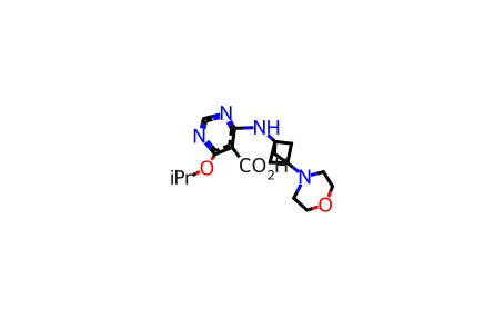 CC(C)Oc1ncnc(NC23CC(N4CCOCC4)(C2)C3)c1C(=O)O